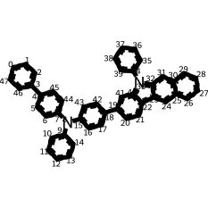 c1ccc(-c2ccc(N(c3ccccc3)c3ccc(-c4ccc5c6cc7ccccc7cc6n(-c6ccccc6)c5c4)cc3)cc2)cc1